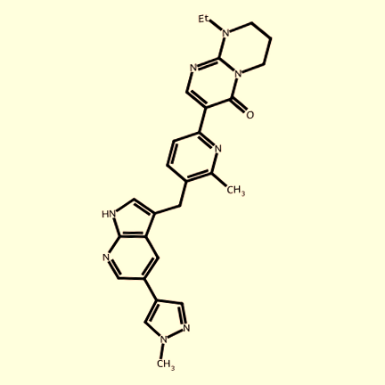 CCN1CCCn2c1ncc(-c1ccc(Cc3c[nH]c4ncc(-c5cnn(C)c5)cc34)c(C)n1)c2=O